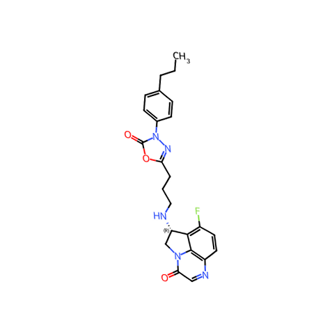 CCCc1ccc(-n2nc(CCCN[C@H]3Cn4c(=O)cnc5ccc(F)c3c54)oc2=O)cc1